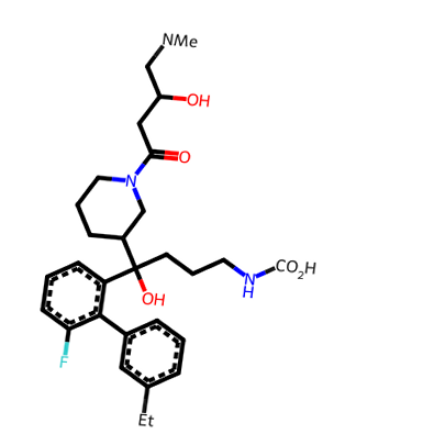 CCc1cccc(-c2c(F)cccc2C(O)(CCCNC(=O)O)C2CCCN(C(=O)CC(O)CNC)C2)c1